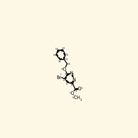 COC(=O)c1cc(Br)c(OCc2ccccc2)nn1